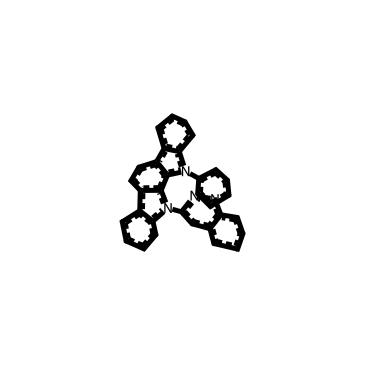 c1ccc(-n2c3ccccc3c3ccc4c5ccccc5n(-c5cc6ccccc6nn5)c4c32)cc1